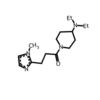 CCN(CC)C1CCN(C(=O)CCc2nccn2C)CC1